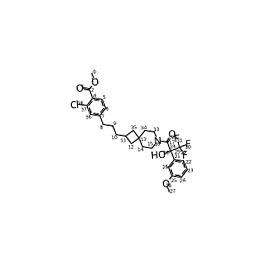 COC(=O)c1ccc(CCCC2CC3(CCN(C(=O)C(O)(c4cccc(OC)c4)C(F)(F)F)CC3)C2)cc1Cl